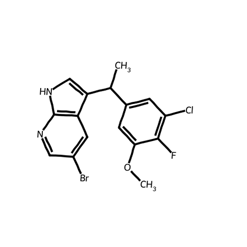 COc1cc(C(C)c2c[nH]c3ncc(Br)cc23)cc(Cl)c1F